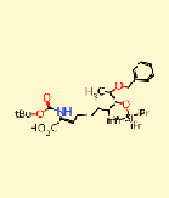 CCCC(CCCC=C(NC(=O)OC(C)(C)C)C(=O)O)C(O[Si](C(C)C)(C(C)C)C(C)C)C(C)OCc1ccccc1